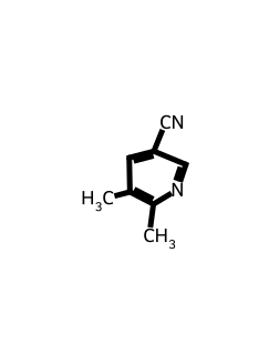 Cc1cc(C#N)cnc1C